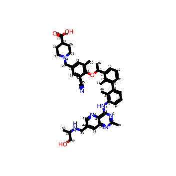 Cc1nc(Nc2cccc(-c3cccc(C(C)Oc4c(C)cc(CN5CCC(C(=O)O)CC5)cc4C#N)c3C)c2C)c2ncc(CNC(C)CO)cc2n1